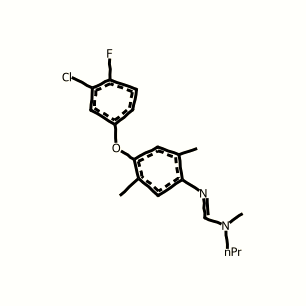 CCCN(C)C=Nc1cc(C)c(Oc2ccc(F)c(Cl)c2)cc1C